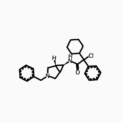 O=C(N[C@H]1C2CN(Cc3ccccc3)C[C@@H]21)C(Cl)(c1ccccc1)C1CCCCC1